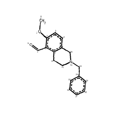 COc1ccc2c(c1C=O)CCN(Cc1ccccc1)C2